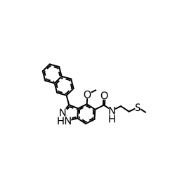 COc1c(C(=O)NCCSC)ccc2[nH]nc(-c3ccc4ccccc4c3)c12